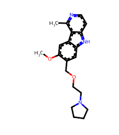 COc1cc2c(cc1COCCN1CCCC1)[nH]c1ccnc(C)c12